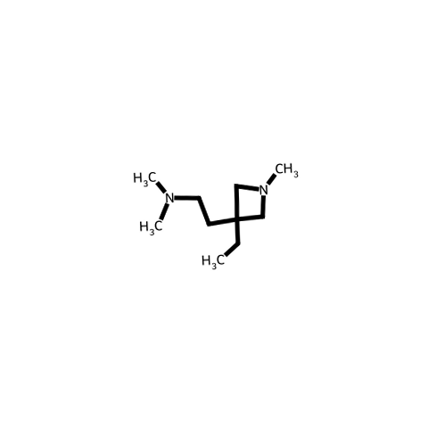 CCC1(CCN(C)C)CN(C)C1